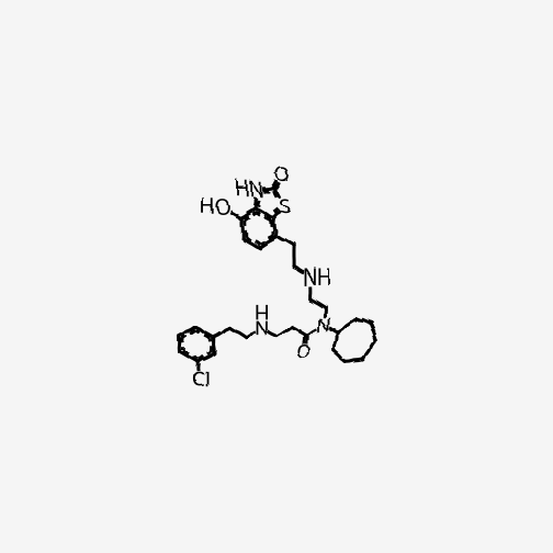 O=C(CCNCCc1cccc(Cl)c1)N(CCNCCc1ccc(O)c2[nH]c(=O)sc12)C1CCCCCC1